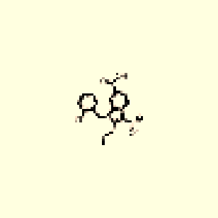 CCCc1c([N+](=O)[O-])c2ccc(C(=O)O)cc2n1Cc1ccccc1Cl